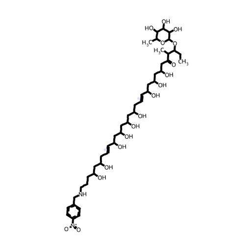 CCC(OC1OC(C)C(O)C(O)C1O)C(C)C(=O)CC(O)CC(O)CC(O)/C=C/CC(O)CC(O)CC(O)CC(O)/C=C/CC(O)CC(O)CCCNCc1ccc([N+](=O)[O-])cc1